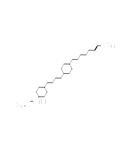 CCCC/C=C/CCCCCC1CCC(CCCCC2CCC([SiH2]COCCC)CC2)CC1